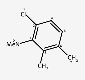 CNc1c(Cl)ccc(C)c1C